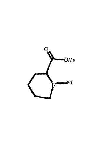 CCN1CCCCC1C(=O)OC